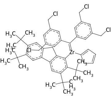 CC(C)(C)c1cc2c(cc1C(C)(C)C)-c1cc(C(C)(C)C)c(C(C)(C)C)[c]([Zr]([C]3=CC=CC3)=[C](c3cc(CCl)cc(CCl)c3)c3cc(CCl)cc(CCl)c3)c1C2